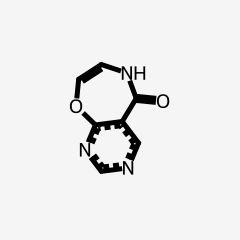 O=C1NC=COc2ncncc21